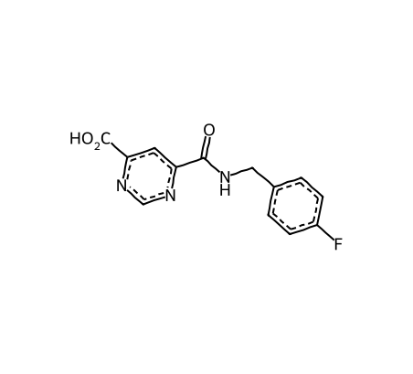 O=C(O)c1cc(C(=O)NCc2ccc(F)cc2)ncn1